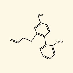 C=CCOc1cc(OC)ccc1-c1ccccc1C=O